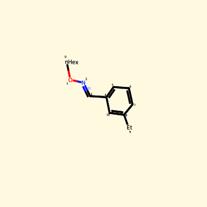 CCCCCCO/N=[C]/c1cccc(CC)c1